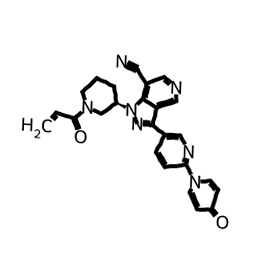 C=CC(=O)N1CCC[C@@H](n2nc(-c3ccc(-n4ccc(=O)cc4)nc3)c3cncc(C#N)c32)C1